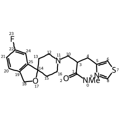 CNC(=O)C(Cc1cscn1)CN1CCC2(CC1)OCc1ccc(F)cc12